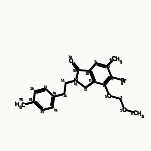 COCOc1c(Br)c(C)cc2c1CN(CCc1ccc(C)cc1)C2=O